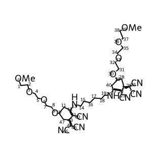 COCCOCCOCCOC1CC(NCCCCCCNC2=C(C#N)C(=C(C#N)C#N)CC(OCCOCCOCCOC)C2)=C(C#N)C(=C(C#N)C#N)C1